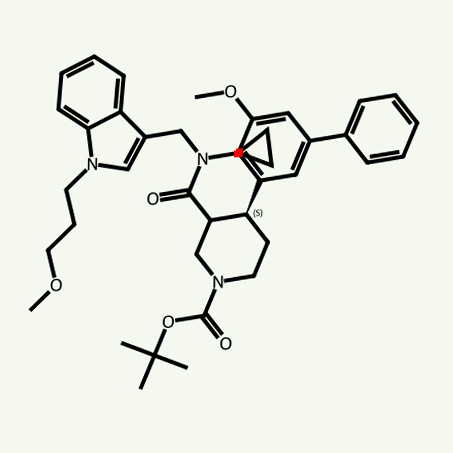 COCCCn1cc(CN(C(=O)C2CN(C(=O)OC(C)(C)C)CC[C@@H]2c2cc(OC)cc(-c3ccccc3)c2)C2CC2)c2ccccc21